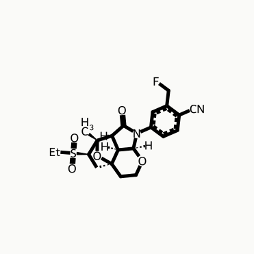 CCS(=O)(=O)[C@@H]1C[C@@]23CCO[C@H]4[C@@H]2[C@H](C(=O)N4c2ccc(C#N)c(CF)c2)[C@]1(C)O3